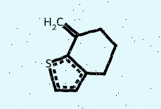 C=C1CCCc2ccsc21